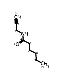 C#CCNC(=O)CCCCC